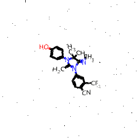 C=C1N(c2ccc(C#N)c(C(F)(F)F)c2)/C(=N/C)C(C)(C)N1c1ccc(O)cc1